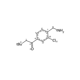 CC(C)(C)CC(=O)c1ccc(CN)c(Cl)c1